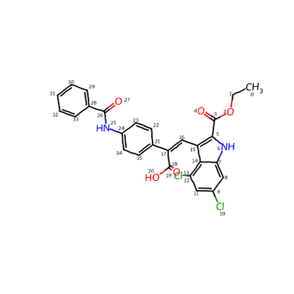 CCOC(=O)c1[nH]c2cc(Cl)cc(Cl)c2c1C=C(C(=O)O)c1ccc(NC(=O)c2ccccc2)cc1